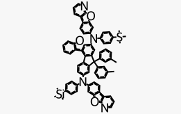 Cc1cccc(C2(c3cccc(C)c3)c3cc(N(c4ccc([Si](C)(C)C)cc4)c4ccc5c(c4)oc4ncccc45)ccc3-c3c2cc(N(c2ccc(S(C)(C)C)cc2)c2ccc4c(c2)oc2ncccc24)c2oc4ccccc4c32)c1